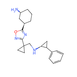 N[C@H]1CCC[C@@H](c2nc(C3(CN[C@H]4CC4c4ccccc4)CC3)no2)C1